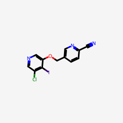 N#Cc1ccc(COc2cncc(Cl)c2I)cn1